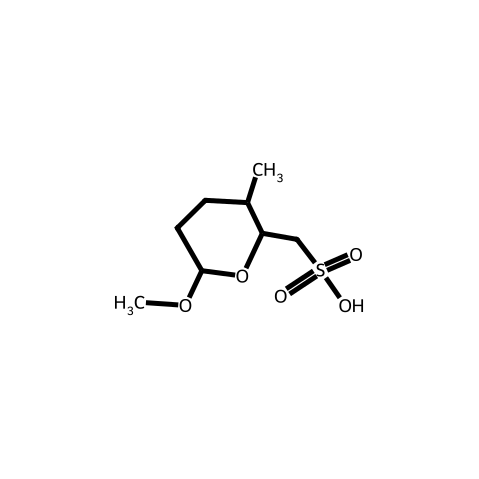 COC1CCC(C)C(CS(=O)(=O)O)O1